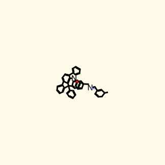 CC1C=C(/C=N/Cc2cccc(-n3c4ccccc4c4ccc5c(c43)C(c3ccccc3)(c3ccccc3)c3ccccc3-5)c2)C=CC1